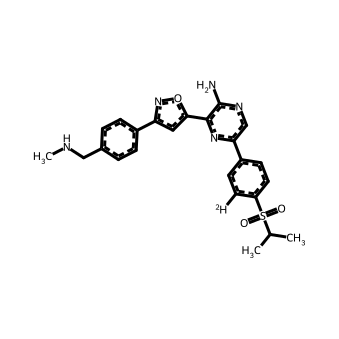 [2H]c1cc(-c2cnc(N)c(-c3cc(-c4ccc(CNC)cc4)no3)n2)ccc1S(=O)(=O)C(C)C